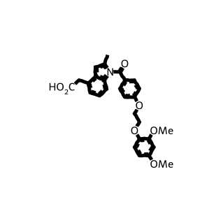 COc1ccc(OCCOc2ccc(C(=O)n3c(C)cc4c(CC(=O)O)cccc43)cc2)c(OC)c1